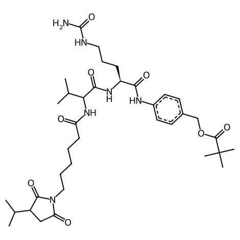 CC(C)C1CC(=O)N(CCCCCC(=O)NC(C(=O)N[C@@H](CCCNC(N)=O)C(=O)Nc2ccc(COC(=O)C(C)(C)C)cc2)C(C)C)C1=O